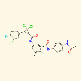 CC(=O)Nc1ccc(NC(=O)c2cc(NC(=O)C3C(c4ccc(F)c(Cl)c4)C3(Cl)Cl)cc(C)c2F)cc1